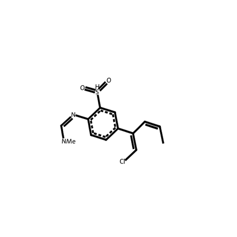 C/C=C\C(=C\Cl)c1ccc(/N=C\NC)c([SH](=O)=O)c1